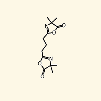 CC1(C)N=C(CCCC2=NC(C)(C)C(=O)O2)OC1=O